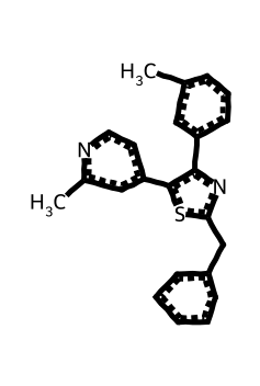 Cc1cccc(-c2nc(Cc3ccccc3)sc2-c2ccnc(C)c2)c1